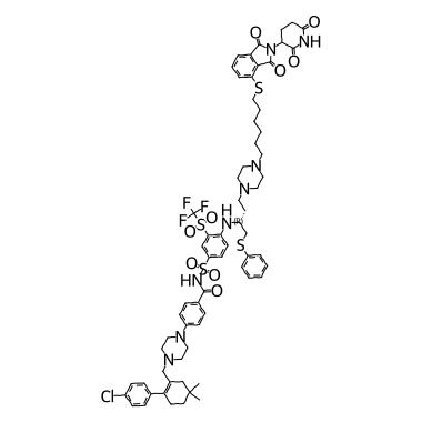 CC1(C)CCC(c2ccc(Cl)cc2)=C(CN2CCN(c3ccc(C(=O)NS(=O)(=O)c4ccc(N[C@H](CCN5CCN(CCCCCCSc6cccc7c6C(=O)N(C6CCC(=O)NC6=O)C7=O)CC5)CSc5ccccc5)c(S(=O)(=O)C(F)(F)F)c4)cc3)CC2)C1